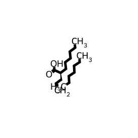 C=CC[C@H](CCCCCC)C(=O)O.CCCCCCC